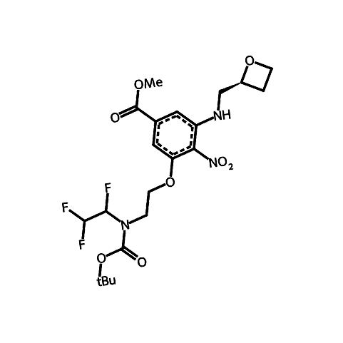 COC(=O)c1cc(NC[C@@H]2CCO2)c([N+](=O)[O-])c(OCCN(C(=O)OC(C)(C)C)C(F)C(F)F)c1